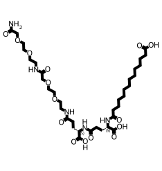 NC(=O)COCCOCCNC(=O)COCCOCCNC(=O)CC[C@H](NC(=O)CC[C@H](NC(=O)CCCCCCCCCCCCC(=O)O)C(=O)O)C(=O)O